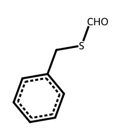 O=CSCc1ccccc1